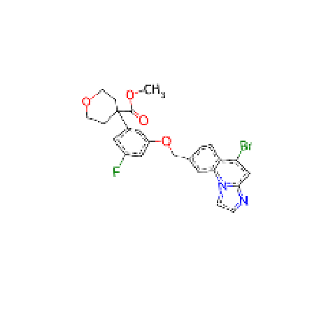 COC(=O)C1(c2cc(F)cc(OCc3ccc4c(Br)cc5nccn5c4c3)c2)CCOCC1